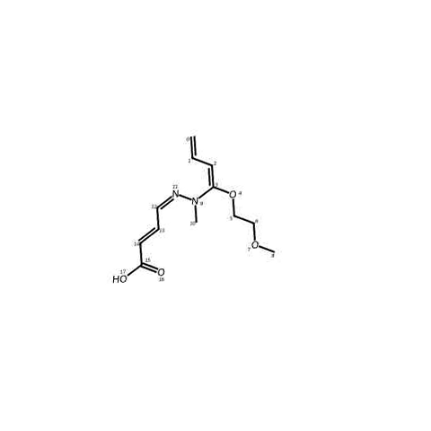 C=C/C=C(/OCCOC)N(C)/N=C\C=C\C(=O)O